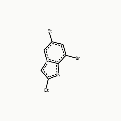 CCc1cc(Br)c2nc(CC)cn2c1